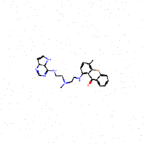 Cc1ccc(NCCN(C)CCNC2=NC=NC3C=CNC23)c2c(=O)c3ccccc3sc12